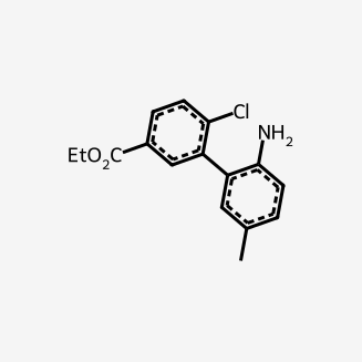 CCOC(=O)c1ccc(Cl)c(-c2cc(C)ccc2N)c1